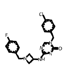 O=c1nc(NC2CN(Cc3ccc(F)cc3)C2)ncn1Cc1ccc(Cl)cc1